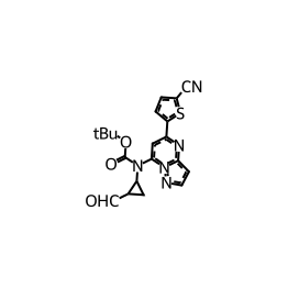 CC(C)(C)OC(=O)N(c1cc(-c2ccc(C#N)s2)nc2ccnn12)C1CC1C=O